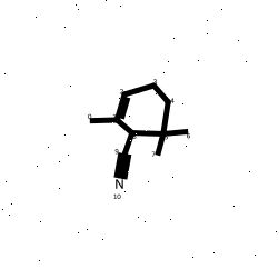 CC1=CCCC(C)(C)C1C#N